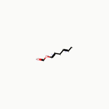 C/C=C/C/C=C/O[C]=O